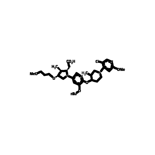 CCCCOc1cc(N2C[C@H](OCCCOC)[C@@H](C)[C@@H]2CC(=O)O)cnc1OC1CCN(c2cc(OC)ncc2Cl)CC1C